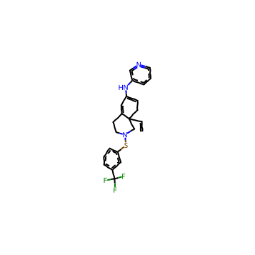 C=CC12CC=C(Nc3cccnc3)C=C1CCN(Sc1cccc(C(F)(F)F)c1)C2